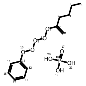 C=C(CCCC)OOOOOc1ccccc1.O=P(O)(O)O